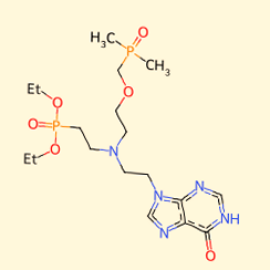 CCOP(=O)(CCN(CCOCP(C)(C)=O)CCn1cnc2c(=O)[nH]cnc21)OCC